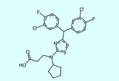 O=C(O)CCN(c1nc(C(c2ccc(F)c(Cl)c2)c2ccc(F)c(Cl)c2)cs1)C1CCCC1